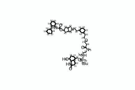 CN(CCNC[C@H](O[Si](C)(C)C(C)(C)C)c1ccc(O)c2[nH]c(=O)ccc12)C(=O)CCOCCc1cccc(CCN2CC3CC(OC(=O)Nc4ccccc4-c4ccccc4)CC3C2)c1